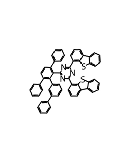 c1ccc(-c2cccc(-c3c(-c4ccccc4)ccc(-c4ccccc4)c3-c3nc(-c4cccc5c4sc4ccccc45)nc(-c4cccc5c4sc4ccccc45)n3)c2)cc1